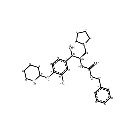 O=C(N[C@H](CN1CCCC1)C(O)c1ccc(OC2CCCCO2)c(Cl)c1)OCc1ccccc1